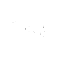 c1ccc2c(Nc3ccc(C4CCNCC4)cc3)ccnc2c1